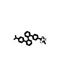 Cc1nnc(-c2ccc(-c3ccccc3-c3ccccc3-c3ccc(C(C)C)cc3)cc2)o1